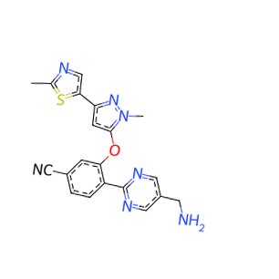 Cc1ncc(-c2cc(Oc3cc(C#N)ccc3-c3ncc(CN)cn3)n(C)n2)s1